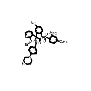 CCOc1ncccc1C1(NCc2ccc(N3CCNCC3)cc2)C(=O)N(S(=O)(=O)c2ccc(OC)cc2OC)c2ccc(C#N)cc21